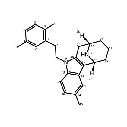 Cc1ccc(C)c(CCn2c3c(c4cc(C)ccc42)[C@H]2CCC[C@@H](C3)N2)c1